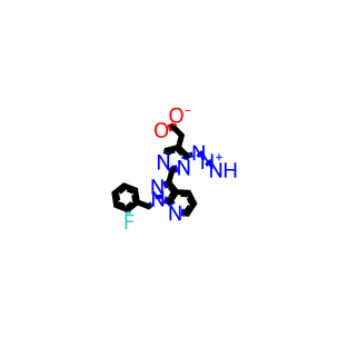 N=[N+]=Nc1nc(-c2nn(Cc3ccccc3F)c3ncccc23)ncc1CC(=O)[O-]